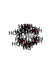 NO[C@@H]1[C@@H](O)[C@H]2O[C@H]3[C@H](O)[C@@H](O)[C@@H](O[C@H]4[C@H](O)[C@@H](O)[C@@H](O[C@H]5[C@H](O)[C@@H](O)[C@@H](O[C@H]6[C@H](O)[C@@H](O)[C@@H](O[C@H]7[C@H](O)[C@@H](O)[C@@H](O[C@H]1[C@@H](CO)O2)O[C@@H]7CO)O[C@@H]6CO)O[C@@H]5CO)O[C@@H]4CO)O[C@@H]3CO